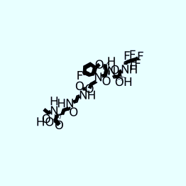 CC(=O)N[C@@H](CCC(=O)NCCNC(=O)OCCN1C(=O)[C@@H](NC[C@](C)(O)C(=O)NCC(F)(F)C(F)(F)F)[C@@H](C)Oc2ccc(F)cc21)C(=O)O